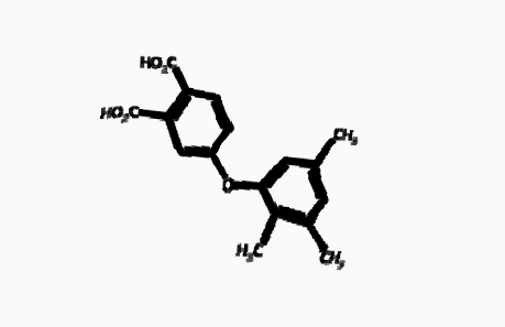 Cc1cc(C)c(C)c(Oc2ccc(C(=O)O)c(C(=O)O)c2)c1